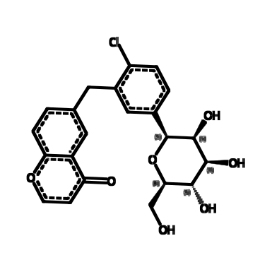 O=c1ccoc2ccc(Cc3cc([C@@H]4O[C@H](CO)[C@@H](O)[C@H](O)[C@@H]4O)ccc3Cl)cc12